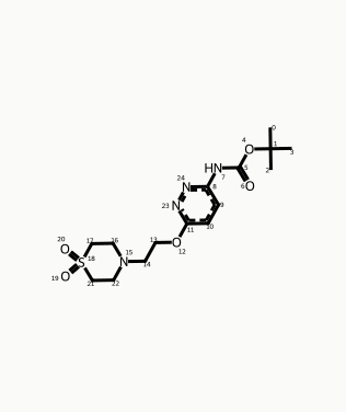 CC(C)(C)OC(=O)Nc1ccc(OCCN2CCS(=O)(=O)CC2)nn1